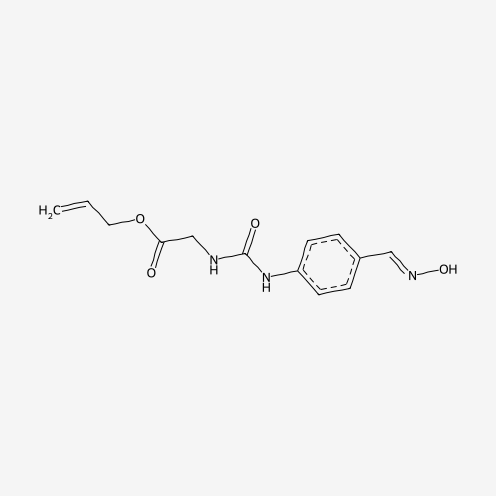 C=CCOC(=O)CNC(=O)Nc1ccc(C=NO)cc1